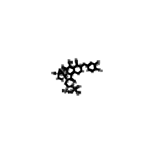 C[C@H](CN1C(=O)c2c3c(c(O)c(=O)n2[C@@]12CC[C@H]1C[C@H]12)C(=O)N(Cc1ccc(F)c(Cl)c1)CC3)OP(=O)(O)O